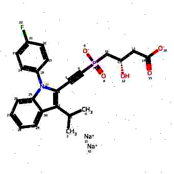 CC(C)c1c(C#CP(=O)([O-])C[C@@H](O)CC(=O)[O-])n(-c2ccc(F)cc2)c2ccccc12.[Na+].[Na+]